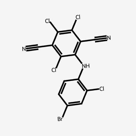 N#Cc1c(Cl)c(Cl)c(C#N)c(Nc2ccc(Br)cc2Cl)c1Cl